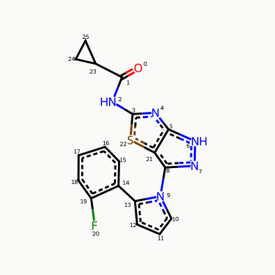 O=C(Nc1nc2[nH]nc(-n3cccc3-c3ccccc3F)c2s1)C1CC1